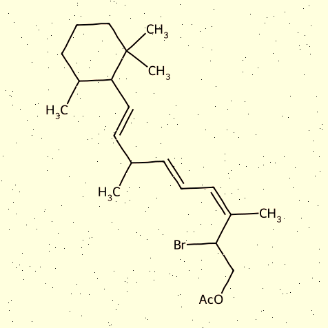 CC(=O)OCC(Br)C(C)=CC=CC(C)C=CC1C(C)CCCC1(C)C